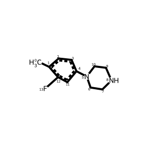 Cc1ccc(N2CCNCC2)cc1F